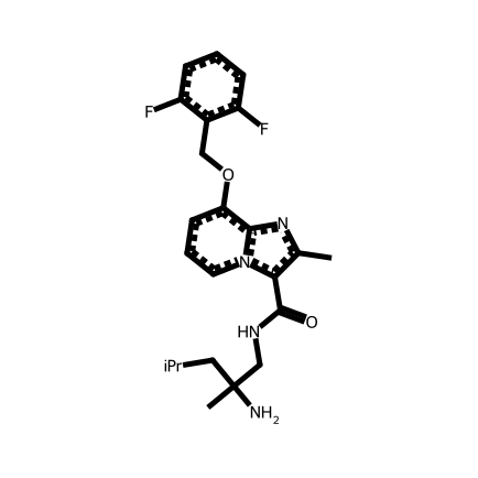 Cc1nc2c(OCc3c(F)cccc3F)cccn2c1C(=O)NCC(C)(N)CC(C)C